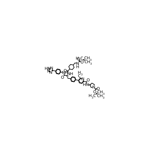 Cc1nc(C(=O)N[C@H]2CCN(C(=O)OC(C)(C)C)C2)ccc1-c1ccc(C[C@H](NC(=O)C2CCC(CNC(=O)OC(C)(C)C)CC2)C(=O)Nc2ccc(-c3nn[nH]n3)cc2)cc1